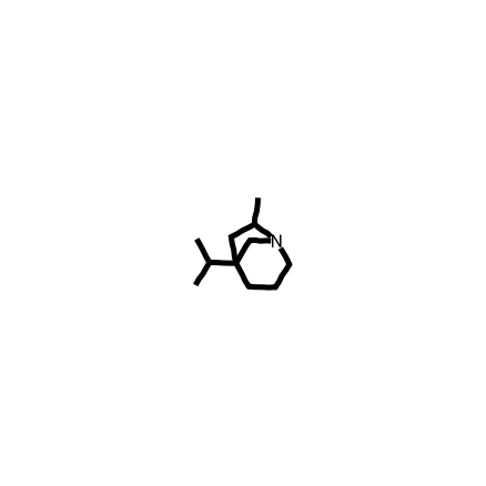 CC1CC2(C(C)C)CCCN1C2